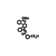 COC(=O)c1ccccc1-c1cccc2c1c1ccccc1n2OC(=O)c1cccc(C(=O)O)c1